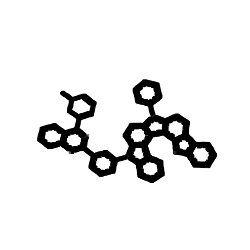 CC1C=CC=C(c2nc(-c3cccc(-n4c5ccccc5c5c6c7c8oc9ccccc9c8ccc7n(-c7ccccc7)c6ccc54)c3)nc3ccccc23)C1